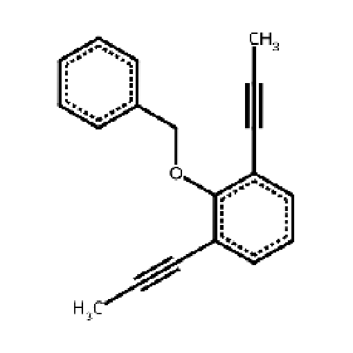 CC#Cc1cccc(C#CC)c1OCc1ccccc1